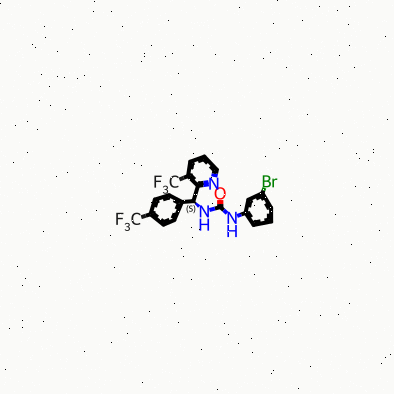 O=C(Nc1cccc(Br)c1)N[C@@H](c1ccc(C(F)(F)F)cc1)c1ncccc1C(F)(F)F